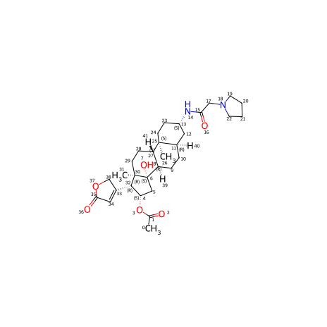 CC(=O)O[C@H]1C[C@]2(O)[C@@H]3CC[C@@H]4C[C@@H](NC(=O)CN5CCCC5)CC[C@]4(C)[C@H]3CC[C@]2(C)[C@H]1C1=CC(=O)OC1